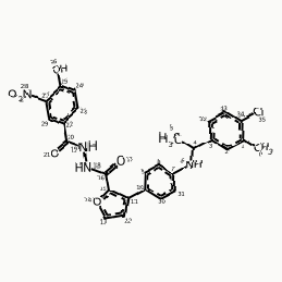 Cc1cc(C(C)Nc2ccc(-c3ccoc3C(=O)NNC(=O)c3ccc(O)c([N+](=O)[O-])c3)cc2)ccc1Cl